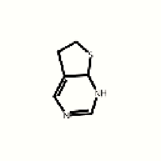 C1=NC=C2CCSC2N1